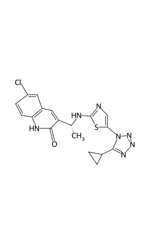 C[C@@H](Nc1ncc(-n2nnnc2C2CC2)s1)c1cc2cc(Cl)ccc2[nH]c1=O